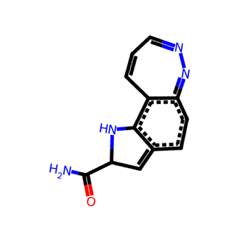 NC(=O)C1C=c2ccc3c(c2N1)C=CC=NN=3